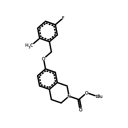 Cc1ccc(F)cc1COc1ccc2c(c1)CN(C(=O)OC(C)(C)C)CC2